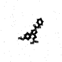 CCN(CC)CCC1CN(C(=O)NC2CCCCC2)N=C1c1ccc(OC(C)C)cc1